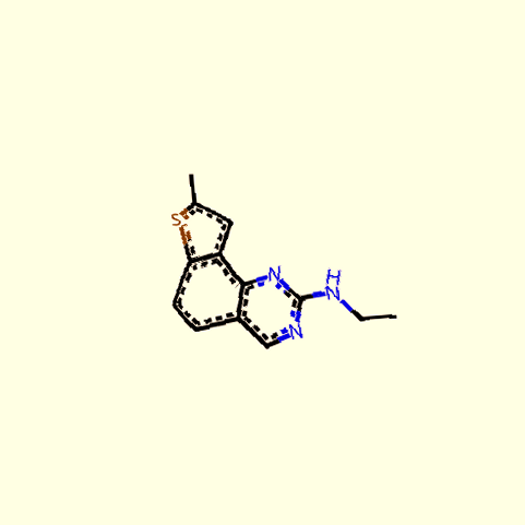 CCNc1ncc2ccc3sc(C)cc3c2n1